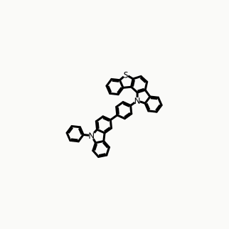 c1ccc(-n2c3ccccc3c3cc(-c4ccc(-n5c6ccccc6c6ccc7sc8ccccc8c7c65)cc4)ccc32)cc1